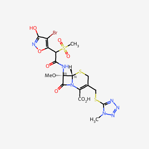 CO[C@@]1(NC(=O)C(c2onc(O)c2Br)S(C)(=O)=O)C(=O)N2C(C(=O)O)=C(CSc3nnnn3C)CS[C@H]21